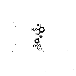 Cc1c(O)cccc1C(=O)Nc1nc(S(=O)(=O)CC(F)(F)F)ns1